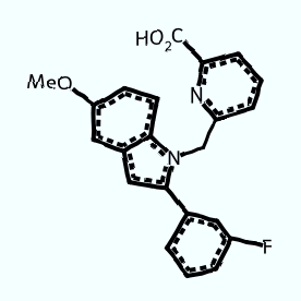 COc1ccc2c(c1)cc(-c1cccc(F)c1)n2Cc1cccc(C(=O)O)n1